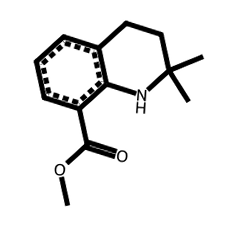 COC(=O)c1cccc2c1NC(C)(C)CC2